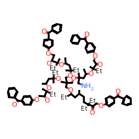 CCC(CC(C)CCC(CC)(CC)C(=O)COc1ccc(C(=O)c2ccccc2)cc1)OCC(COC(C)(CC)CC(C)OC(C)(CC)C(=O)COc1ccc(C(=O)c2ccccc2)cc1)(COC(C)(CC)CC(C)OC(C)(CC)C(=O)COc1ccc(C(=O)c2ccccc2)cc1)COC(C)(CN)CC(C)OC(C)(CC)C(=O)COc1ccc(C(=O)c2ccccc2)cc1